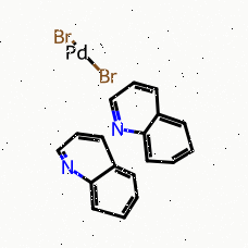 [Br][Pd][Br].c1ccc2ncccc2c1.c1ccc2ncccc2c1